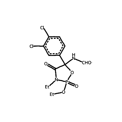 CCOP1(=O)OC(N[C]=O)(c2ccc(Cl)c(Cl)c2)C(=O)N1CC